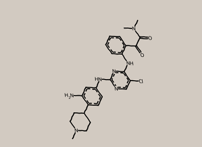 CN1CCC(c2ccc(Nc3ncc(Cl)c(Nc4ccccc4C(=O)C(=O)N(C)C)n3)cc2N)CC1